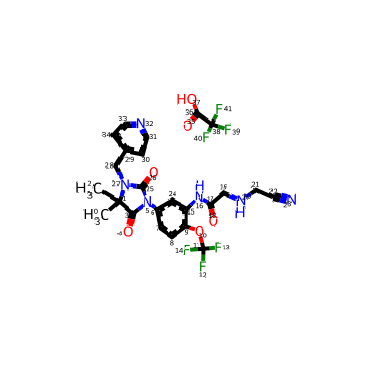 CC1(C)C(=O)N(c2ccc(OC(F)(F)F)c(NC(=O)CNCC#N)c2)C(=O)N1Cc1ccncc1.O=C(O)C(F)(F)F